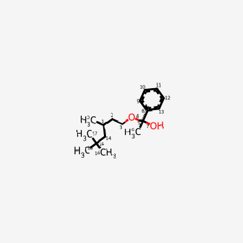 CC(CCOC(C)(O)c1ccccc1)CC(C)(C)C